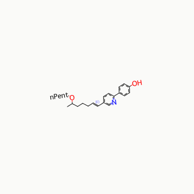 CCCCCOC(C)CCC/C=C/c1ccc(-c2ccc(O)cc2)nc1